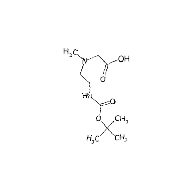 CN(CCNC(=O)OC(C)(C)C)CC(=O)O